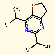 CC(C)c1nc2c(c(C(C)C)n1)SCC2